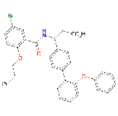 CC(C)CCOc1ccc(Br)cc1C(=O)NC(CC(=O)O)c1ccc(-c2ccccc2Oc2ccccc2)cc1